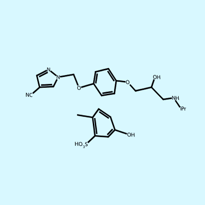 CC(C)NCC(O)COc1ccc(OCn2cc(C#N)cn2)cc1.Cc1ccc(O)cc1S(=O)(=O)O